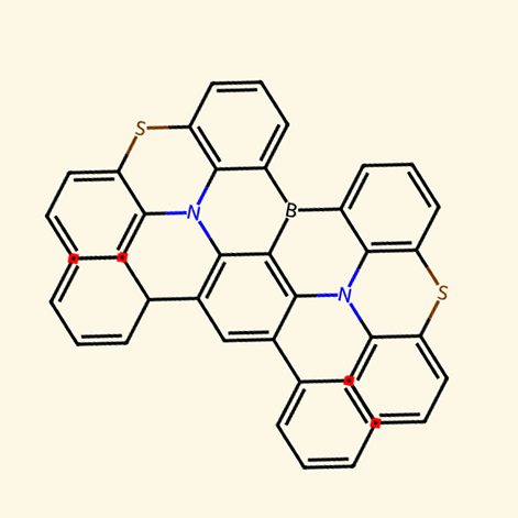 C1=CCC(c2cc(-c3ccccc3)c3c4c2N2c5ccccc5Sc5cccc(c52)B4c2cccc4c2N3c2ccccc2S4)C=C1